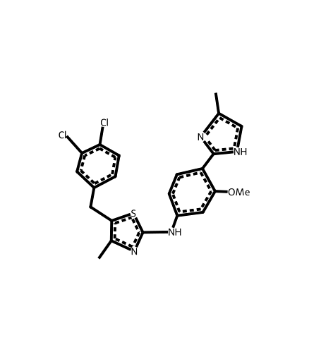 COc1cc(Nc2nc(C)c(Cc3ccc(Cl)c(Cl)c3)s2)ccc1-c1nc(C)c[nH]1